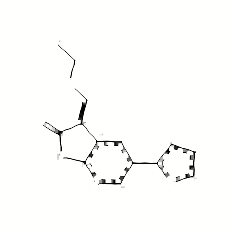 CCOC=C1C(=O)Nc2ncc(-c3ccco3)cc21